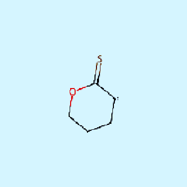 S=C1[C]CCCO1